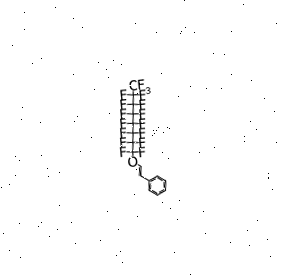 FC(F)(F)C(F)(F)C(F)(F)C(F)(F)C(F)(F)C(F)(F)C(F)(F)C(F)(F)OC=Cc1ccccc1